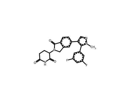 Cn1ncc(-c2ccc3c(c2)CN(C2CCC(=O)NC2=O)C3=O)c1-c1cc(F)cc(F)c1